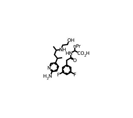 CC(CC(C)c1ccc(N)nc1)NCCO.CCCC(NC(=O)Cc1cc(F)cc(F)c1)C(=O)O